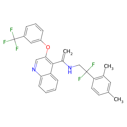 C=C(NCC(F)(F)c1ccc(C)cc1C)c1c(Oc2cccc(C(F)(F)F)c2)cnc2ccccc12